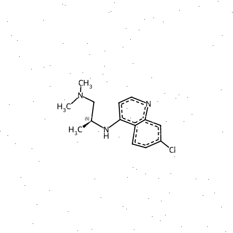 C[C@@H](CN(C)C)Nc1ccnc2cc(Cl)ccc12